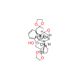 C[C@]12C[C@@](O)(c3ccccc3)[C@H]3[C@@H](C[C@]4(C)O[C@@]45CC4(CC[C@]35C)OCCO4)[C@@H]1CCC21OCCO1